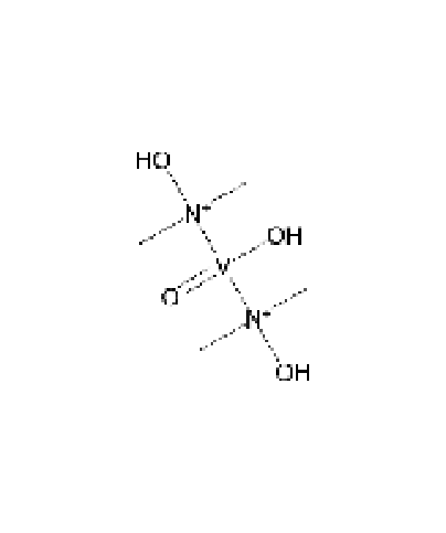 C[N+](C)(O)[V](=[O])([OH])[N+](C)(C)O